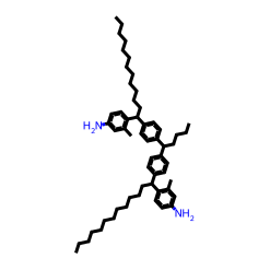 CCCCCCCCCCCCC(c1ccc(C(CCCC)c2ccc(C(CCCCCCCCCCCC)c3ccc(N)cc3C)cc2)cc1)c1ccc(N)cc1C